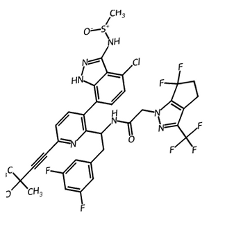 C[S+]([O-])Nc1n[nH]c2c(-c3ccc(C#CC(C)(C)O)nc3C(Cc3cc(F)cc(F)c3)NC(=O)Cn3nc(C(F)(F)F)c4c3C(F)(F)CC4)ccc(Cl)c12